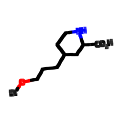 CCOCCCC1CCNC(C(=O)O)C1